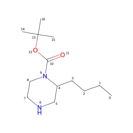 CCCCC1CNCCN1C(=O)OC(C)(C)C